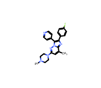 Cc1cc(N2CCN(C(C)C)CC2)nn2c(-c3ccncc3)c(-c3ccc(F)cc3)nc12